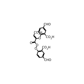 O=Cc1ccc(OOC(=O)C(=CC(=O)O)Oc2ccc(C=O)cc2C(=O)O)c(C(=O)O)c1